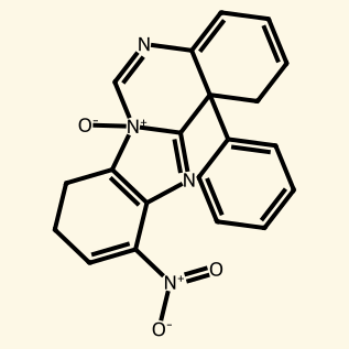 O=[N+]([O-])C1=CCCC2=C1N=C1C3(c4ccccc4)CC=CC=C3N=C[N+]12[O-]